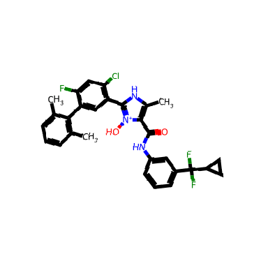 Cc1cccc(C)c1-c1cc(-c2[nH]c(C)c(C(=O)Nc3cccc(C(F)(F)C4CC4)c3)[n+]2O)c(Cl)cc1F